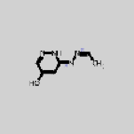 C/C=N\N=c1\cc(O)cn[nH]1